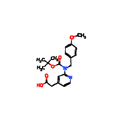 COc1ccc(CN(C(=O)OC(C)(C)C)c2cc(CC(=O)O)ccn2)cc1